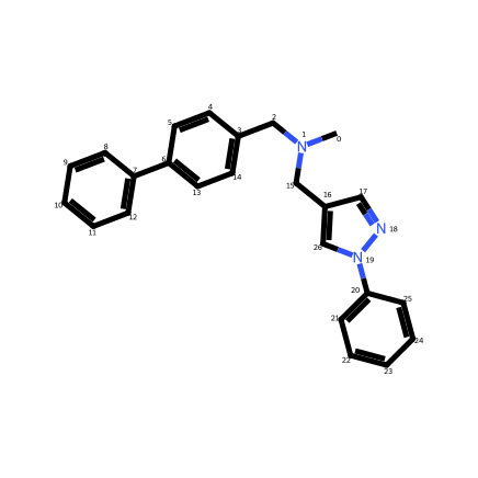 CN(Cc1ccc(-c2[c]cccc2)cc1)Cc1cnn(-c2ccccc2)c1